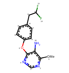 COc1ncnc(Oc2ccc(CC(F)F)cc2)c1N